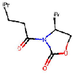 CC(C)CCC(=O)N1C(=O)OC[C@@H]1C(C)C